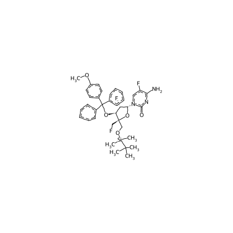 COc1ccc(C(O[C@H]2[C@H](F)[C@H](n3cc(F)c(N)nc3=O)O[C@]2(CF)CO[Si](C)(C)C(C)(C)C)(c2ccccc2)c2ccccc2)cc1